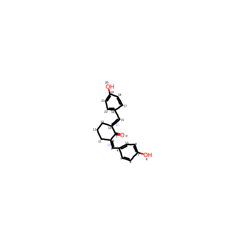 O=C1/C(=C\c2ccc(O)cc2)CCC/C1=C\c1ccc(O)cc1